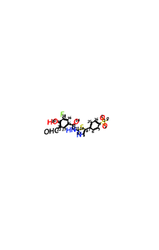 CS(=O)(=O)c1ccc(-c2cnc(NC(=O)c3cc(F)c(O)c(C=O)c3)s2)cc1